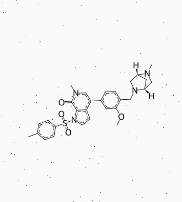 COc1cc(-c2cn(C)c(=O)c3c2ccn3S(=O)(=O)c2ccc(C)cc2)ccc1CN1C[C@H]2C[C@@H]1CN2C